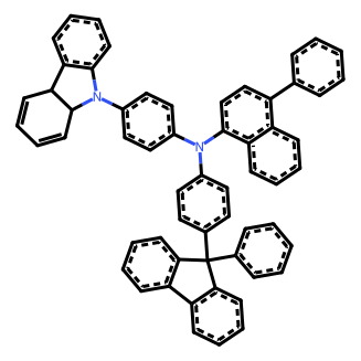 C1=CC2c3ccccc3N(c3ccc(N(c4ccc(C5(c6ccccc6)c6ccccc6-c6ccccc65)cc4)c4ccc(-c5ccccc5)c5ccccc45)cc3)C2C=C1